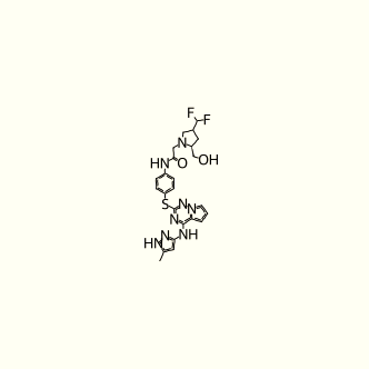 Cc1cc(Nc2nc(Sc3ccc(NC(=O)CN4CC(C(F)F)C[C@H]4CO)cc3)nn3cccc23)n[nH]1